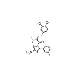 COc1ccc(CCN(C(=O)c2nc(N)sc2-c2cccc(C)c2)C(C)C)cc1OC